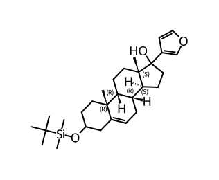 CC(C)(C)[Si](C)(C)OC1CC[C@@]2(C)C(=CC[C@@H]3[C@H]2CC[C@@]2(C)[C@H]3CCC2(O)c2ccoc2)C1